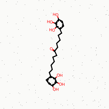 O=C(CCCCCCc1ccc(O)c(O)c1O)CCCCCc1ccc(O)c(O)c1O